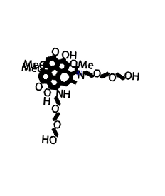 COc1c(O)c2c(=O)cc(OC)c3c4c(OC)cc(=O)c5c(O)c(NCCOCCOCCO)c6c(c(c1C(/C(C)=N/CCOCCOCCO)C(C)=C6)c23)c54